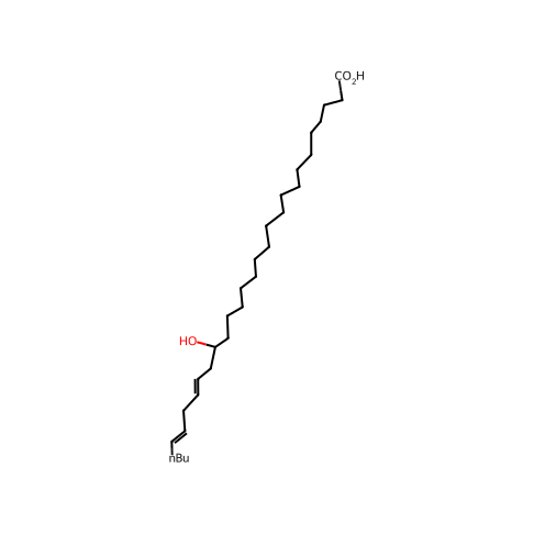 CCCCC=CCC=CCC(O)CCCCCCCCCCCCCCCCCC(=O)O